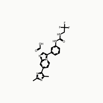 Cc1nc(C)c(-c2ccn3c(-c4cccc(NC(=O)NCC(F)(F)F)c4)cnc3c2)s1.O=CO